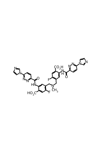 CN(Cc1cc(NC(=O)c2ccc(-n3ccnc3)nn2)c(C(=O)O)cc1F)Cc1cc(NC(=O)c2ccc(-n3ccnc3)nn2)c(C(=O)O)cc1F